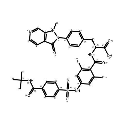 Cn1c2cnccc2c(=O)n1-c1ccc(C[C@H](NC(=O)c2c(F)cc(NS(=O)(=O)c3ccc(C(=O)NC(C)(C)C)cc3)cc2F)C(=O)O)cc1